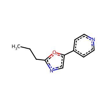 CCCc1ncc(-c2ccncc2)o1